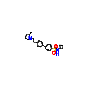 C[C@@H]1CCCN1CCc1ccc(-c2ccc(S(=O)(=O)NC3CCC3)cc2)cc1